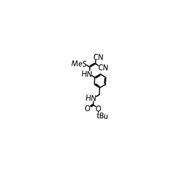 CSC(Nc1cccc(CNC(=O)OC(C)(C)C)c1)=C(C#N)C#N